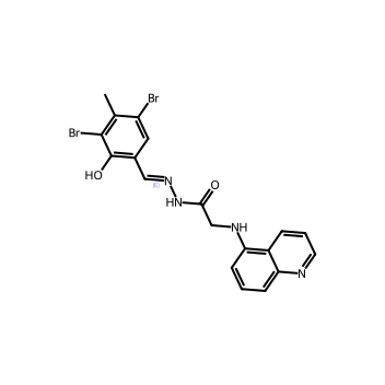 Cc1c(Br)cc(/C=N/NC(=O)CNc2cccc3ncccc23)c(O)c1Br